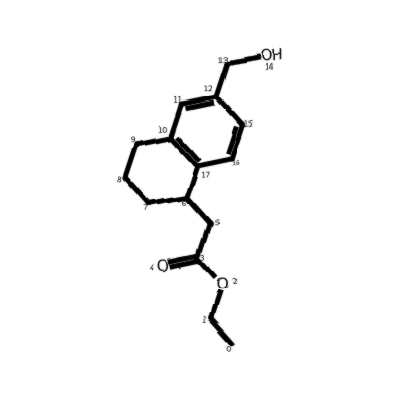 CCOC(=O)CC1CCCc2cc(CO)ccc21